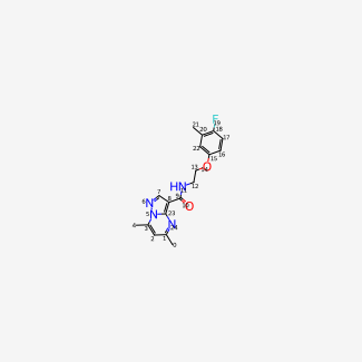 Cc1cc(C)n2ncc(C(=O)NCCOc3ccc(F)c(C)c3)c2n1